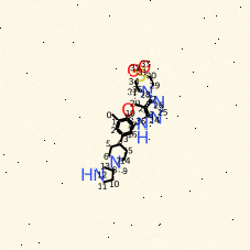 Cc1cc(C2CCN([C@@]3(C)CCNC3)CC2)cc2c1O[C@H](C)c1c(ncnc1N1CCS(=O)(=O)CC1)N2